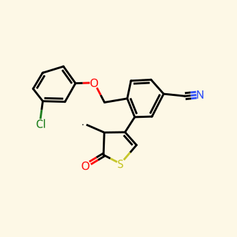 [CH2]C1C(=O)SC=C1c1cc(C#N)ccc1COc1cccc(Cl)c1